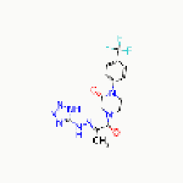 CC(=NNc1nnn[nH]1)C(=O)N1CCN(c2ccc(C(F)(F)F)cc2)C(=O)C1